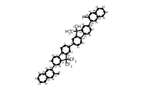 CC1(C)c2cc(-c3ccc4c(c3)C(C(F)(F)F)(C(F)(F)F)c3cc(-c5cc6ccccc6cc5F)ccc3-4)ccc2-c2ccc(-c3cc4ccccc4cc3F)cc21